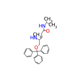 CNC(CCC(=O)NC(C)C)COC(c1ccccc1)(c1ccccc1)c1ccccc1